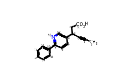 CC#CC(CC(=O)O)c1ccc(-c2ccccc2)nc1